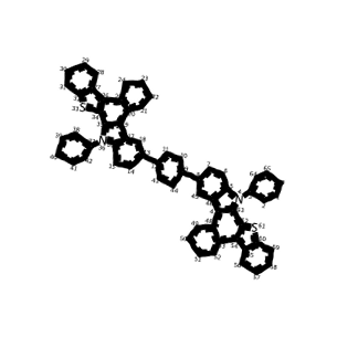 c1ccc(-n2c3ccc(-c4ccc(-c5ccc6c(c5)c5c7ccccc7c7c8ccccc8sc7c5n6-c5ccccc5)cc4)cc3c3c4ccccc4c4c5ccccc5sc4c32)cc1